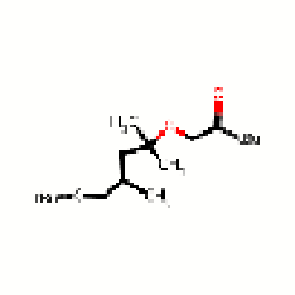 CC(CCC(C)(C)C)CC(C)(C)OCC(=O)C(C)(C)C